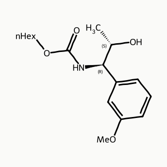 CCCCCCOC(=O)N[C@H](c1cccc(OC)c1)[C@H](C)O